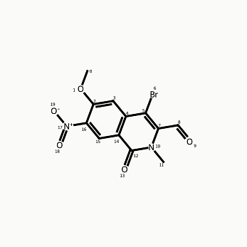 COc1cc2c(Br)c(C=O)n(C)c(=O)c2cc1[N+](=O)[O-]